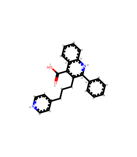 O=C(O)c1c(CCCc2ccncc2)c(-c2ccccc2)nc2ccccc12